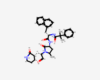 CC1C[C@H](NC(=O)[C@H](Cc2cccc3ccccc23)NC(=O)C(C)(C)c2ccccc2)C(=O)N1[C@H](C=O)C[C@@H]1CCCNC1=O